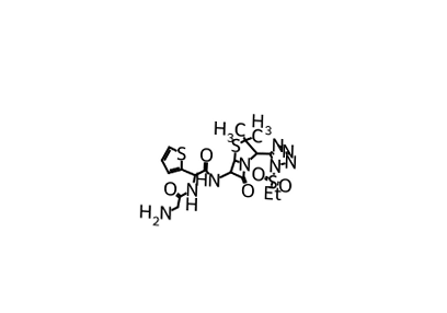 CCS(=O)(=O)n1nnnc1C1N2C(=O)C(NC(=O)C(NC(=O)CN)c3cccs3)C2SC1(C)C